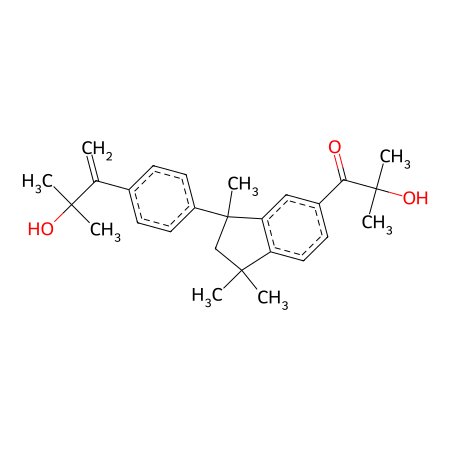 C=C(c1ccc(C2(C)CC(C)(C)c3ccc(C(=O)C(C)(C)O)cc32)cc1)C(C)(C)O